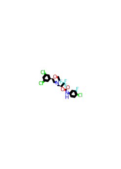 O=C(Nc1ccc(Cl)c(F)c1)O[C@@H](CN1CCO[C@H](c2cc(Cl)cc(Cl)c2)C1)C(F)(F)F